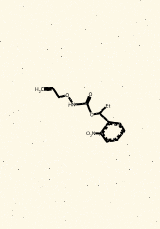 C=CCONC(=O)OC(CC)c1ccccc1[N+](=O)[O-]